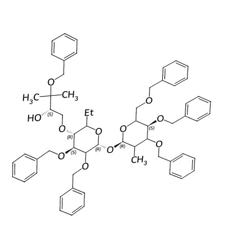 CCC1O[C@H](O[C@H]2OC(COCc3ccccc3)[C@@H](OCc3ccccc3)C(OCc3ccccc3)C2C)C(OCc2ccccc2)[C@@H](OCc2ccccc2)[C@@H]1OC[C@H](O)C(C)(C)OCc1ccccc1